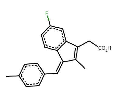 CC1=C(CC(=O)O)c2cc(F)ccc2C1=Cc1ccc(C)cc1